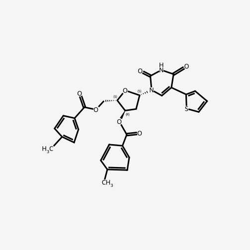 Cc1ccc(C(=O)OC[C@@H]2O[C@H](n3cc(-c4cccs4)c(=O)[nH]c3=O)C[C@H]2OC(=O)c2ccc(C)cc2)cc1